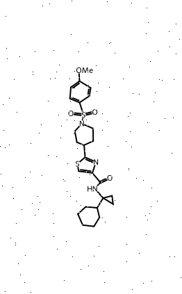 COc1ccc(S(=O)(=O)N2CCC(c3nc(C(=O)NC4(C5CCCCC5)CC4)cs3)CC2)cc1